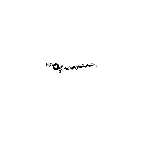 CCCCOCCOCCOCCOS(=O)(=O)c1ccc(C)cc1